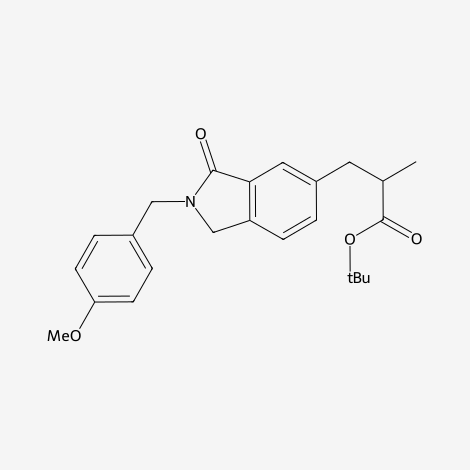 COc1ccc(CN2Cc3ccc(CC(C)C(=O)OC(C)(C)C)cc3C2=O)cc1